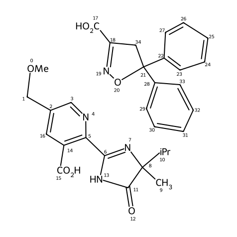 COCc1cnc(C2=NC(C)(C(C)C)C(=O)N2)c(C(=O)O)c1.O=C(O)C1=NOC(c2ccccc2)(c2ccccc2)C1